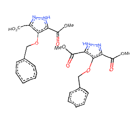 COC(=O)c1[nH]nc(C(=O)O)c1OCc1ccccc1.COC(=O)c1n[nH]c(C(=O)OC)c1OCc1ccccc1